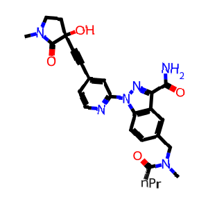 CCCC(=O)N(C)Cc1ccc2c(c1)c(C(N)=O)nn2-c1cc(C#CC2(O)CCN(C)C2=O)ccn1